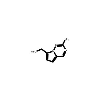 COCc1ccc2cnc(C)nn12